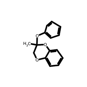 CC1(Oc2ccccc2)COc2ccccc2O1